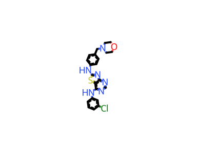 Clc1cccc(Nc2ncnc3nc(Nc4ccc(CN5CCOCC5)cc4)sc23)c1